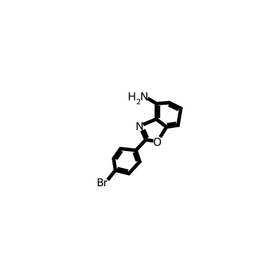 Nc1cccc2oc(-c3ccc(Br)cc3)nc12